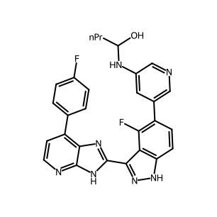 CCCC(O)Nc1cncc(-c2ccc3[nH]nc(-c4nc5c(-c6ccc(F)cc6)ccnc5[nH]4)c3c2F)c1